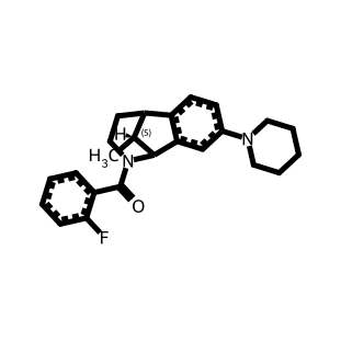 C[C@H]1C2CCN(C(=O)c3ccccc3F)C1c1cc(N3CCCCC3)ccc12